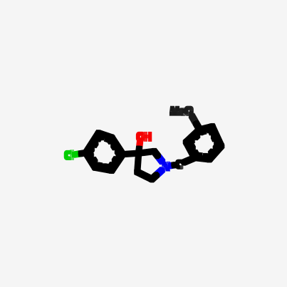 COc1cccc(CN2CCC(O)(c3ccc(Cl)cc3)C2)c1